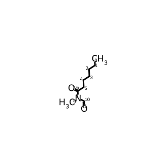 CCCCCCC(=O)N(C)C=O